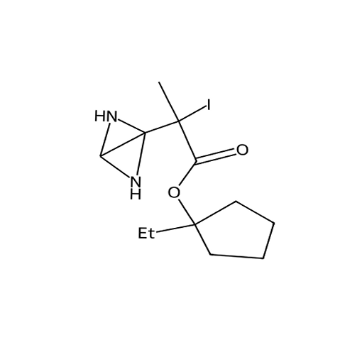 CCC1(OC(=O)C(C)(I)C23NC2N3)CCCC1